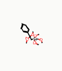 COC(C[Si](OC)(OC)OC)(OC)c1ccccc1